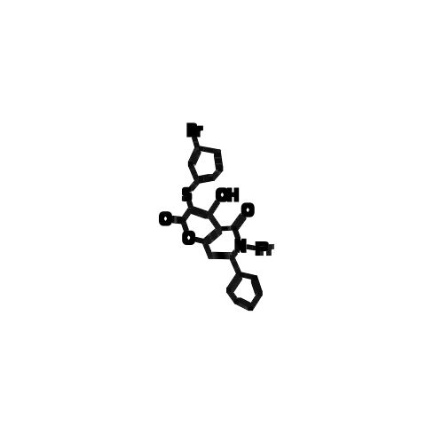 CC(C)n1c(-c2ccccc2)cc2oc(=O)c(Sc3cccc(Br)c3)c(O)c2c1=O